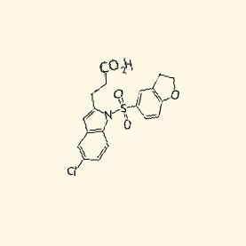 O=C(O)CCc1cc2cc(Cl)ccc2n1S(=O)(=O)c1ccc2c(c1)CCO2